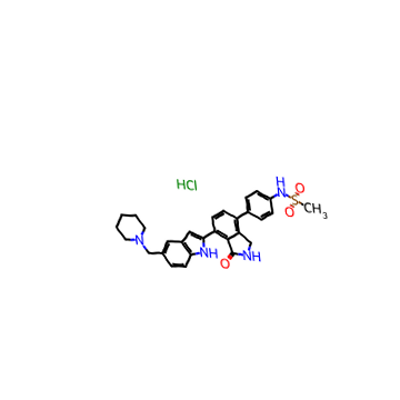 CS(=O)(=O)Nc1ccc(-c2ccc(-c3cc4cc(CN5CCCCC5)ccc4[nH]3)c3c2CNC3=O)cc1.Cl